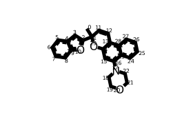 CC1(c2cc3ccccc3o2)C=Cc2c(cc(N3CCOCC3)c3ccccc23)O1